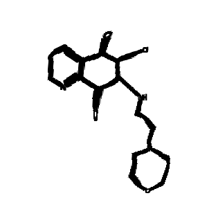 O=C1c2cccnc2C(=O)C(NCCN2CCOCC2)C1Cl